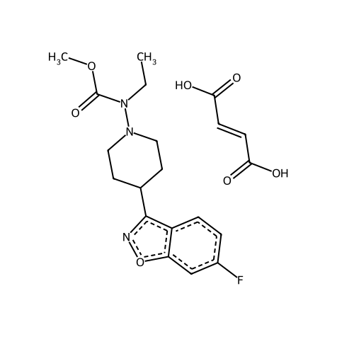 CCN(C(=O)OC)N1CCC(c2noc3cc(F)ccc23)CC1.O=C(O)C=CC(=O)O